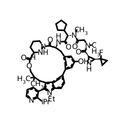 CCn1c(-c2cccnc2C(C)C)c2c3cc(ccc31)-c1cc(O)cc(c1)C[C@H](NC(=O)[C@H](C1CCCC1)N(C)C(=O)CN(C)C(=O)[C@@H]1N[C@@H]1C1(F)CC1)C(=O)N1CCC[C@H](N1)C(=O)OCC(C)(C)C2